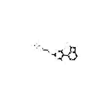 Cc1nc(OCCO[Si](C)(C)C(C)(C)C)nc(C)c1-c1cccc2c1C(O)=C2